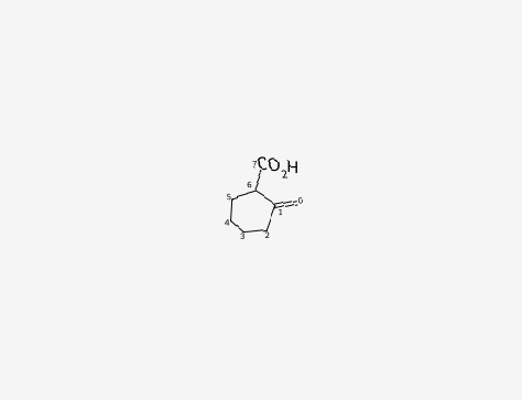 C=C1CCCCC1C(=O)O